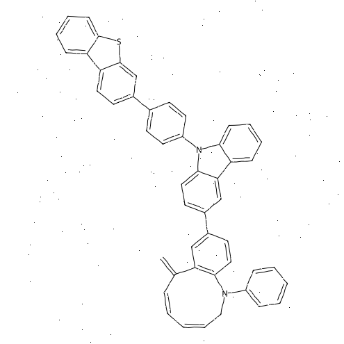 C=C1/C=C\C=C/CN(c2ccccc2)c2ccc(-c3ccc4c(c3)c3ccccc3n4-c3ccc(-c4ccc5c(c4)sc4ccccc45)cc3)cc21